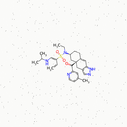 C=C/C(=C\NC(C)C)S(=O)(=O)N(CC)[C@H]1CCC2=Cc3[nH]ncc3C[C@]2(C(=O)c2cc(C)ccn2)C1